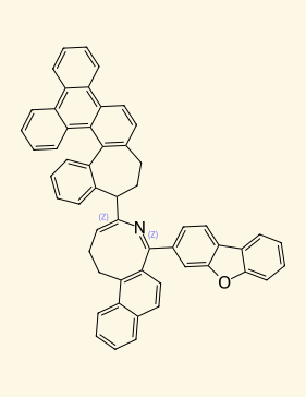 C1=C(C2CCc3ccc4c5ccccc5c5ccccc5c4c3-c3ccccc32)\N=C(\c2ccc3c(c2)oc2ccccc23)c2ccc3ccccc3c2CC/1